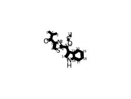 CC(C)C(=O)c1csc(C(OSI)c2c[nH]c3ccccc23)n1